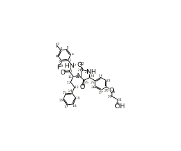 O=C(Nc1ccc(I)cc1F)C(CCc1ccccc1)N1C(=O)NC(c2ccc(OCCO)cc2)C1=O